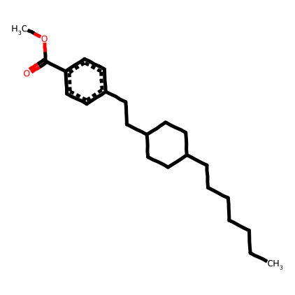 CCCCCCCC1CCC(CCc2ccc(C(=O)OC)cc2)CC1